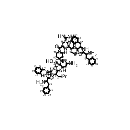 CC(C)C[C@@H](NC(=O)[C@@H](Cc1ccccc1)NC(=O)[C@H](N)Cc1ccccc1)C(=O)NC(CC(=N)N)C(=O)NC1(C(=O)O)CCN(C(=O)[C@@H](CNC(=N)N)NC(=O)[C@@H](CC(C)C)NC(=O)[C@@H](Cc2ccccc2)NC(=O)[C@H](N)Cc2ccccc2)CC1